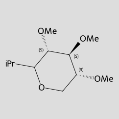 CO[C@H]1[C@H](OC)COC(C(C)C)[C@@H]1OC